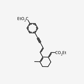 CCOC(=O)C=C1CCCC(C)=C1C=CC#Cc1ccc(C(=O)OCC)cc1